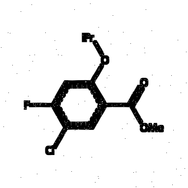 COC(=O)c1cc(Cl)c(F)cc1OC(C)C